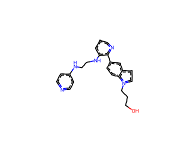 OCCCn1ccc2cc(-c3ncccc3NCCNc3ccncc3)ccc21